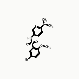 COc1ccc(Br)cc1S(=O)(=O)Nc1ccc(N(C)C)nc1